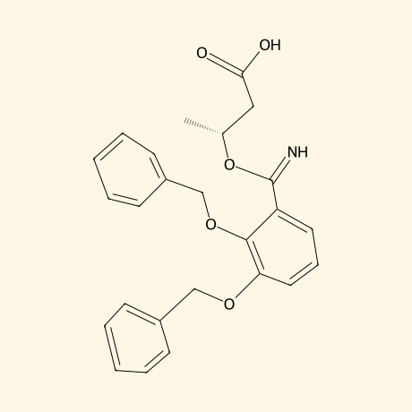 C[C@H](CC(=O)O)OC(=N)c1cccc(OCc2ccccc2)c1OCc1ccccc1